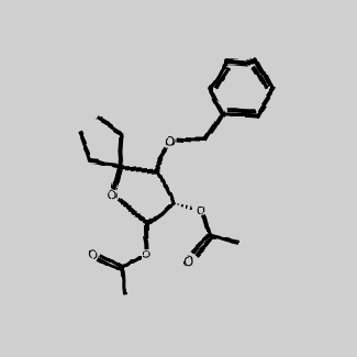 CCC1(CC)OC(OC(C)=O)[C@@H](OC(C)=O)C1OCc1ccccc1